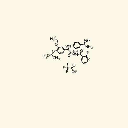 CCOc1cc(C(Nc2ccc(C(=N)N)cc2)C(=O)NNC(=O)c2cccnc2F)ccc1OC(C)C.O=C(O)C(F)(F)F